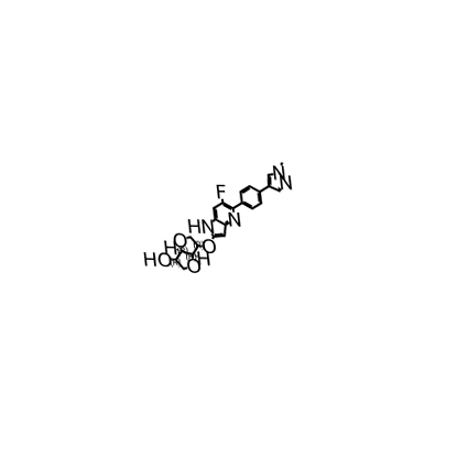 Cn1cc(-c2ccc(-c3nc4cc(O[C@@H]5CO[C@H]6[C@@H]5OC[C@H]6O)[nH]c4cc3F)cc2)cn1